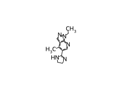 CCn1ncc2c(C)c(C3=NCCN3)cnc21